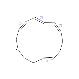 [CH]1C\C=C/C=C/C=C\CC/C=C/CC1